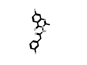 Cc1nc2cc(F)ccc2c(=O)n1NC(=O)Cc1cccc(F)c1